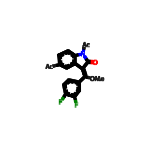 COC(=C1C(=O)N(C(C)=O)c2ccc(C(C)=O)cc21)c1ccc(F)c(F)c1